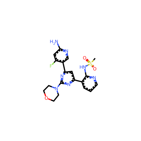 CS(=O)(=O)Nc1ncccc1-c1cc(-c2cnc(N)cc2F)nc(N2CCOCC2)n1